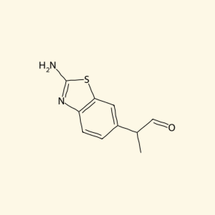 CC(C=O)c1ccc2nc(N)sc2c1